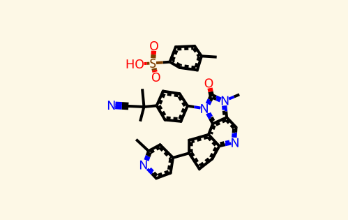 Cc1cc(-c2ccc3ncc4c(c3c2)n(-c2ccc(C(C)(C)C#N)cc2)c(=O)n4C)ccn1.Cc1ccc(S(=O)(=O)O)cc1